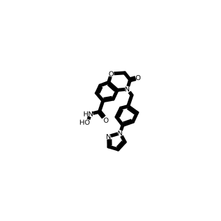 O=C(NO)c1ccc2c(c1)N(Cc1ccc(-n3cccn3)cc1)C(=O)CO2